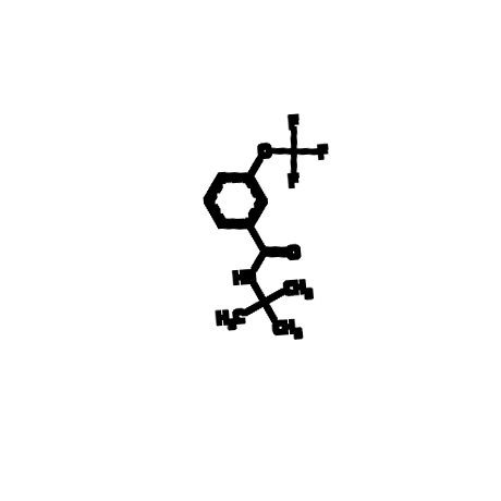 CC(C)(C)NC(=O)c1cccc(OC(F)(F)F)c1